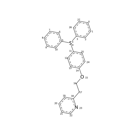 c1ccc([S+](c2ccccc2)c2ccc(OCCc3ccccn3)cc2)cc1